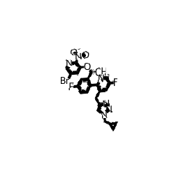 C[C@@H](Oc1cc(Br)cnc1[N+](=O)[O-])c1cc(F)ccc1-c1ncc(F)cc1Cc1cn(CC2CC2)nn1